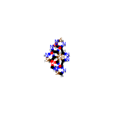 c1nnc([SH]2(c3csnn3)(c3cnon3)C(c3cnsn3)=NN=C2c2ncsn2)o1